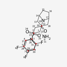 N[C@H](Cc1cc(F)c(F)cc1F)C1CC2CCC(C1)N2C(=O)CS(=O)(=O)N1CCOCC1